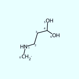 [CH2]NCCC(O)O